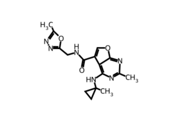 Cc1nc(NC2(C)CC2)c2c(C(=O)NCc3nnc(C)o3)coc2n1